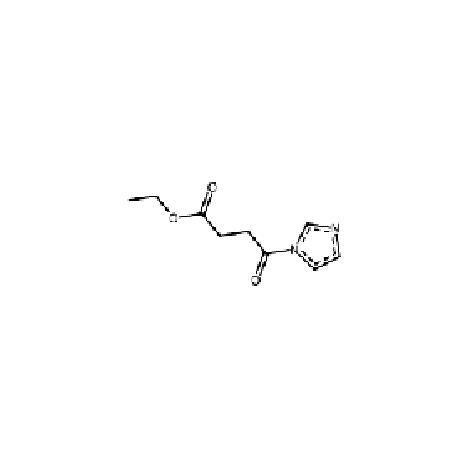 CCOC(=O)CCC(=O)n1ccnc1